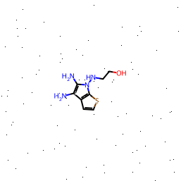 Nc1c(N)n(NCCO)c2sccc12